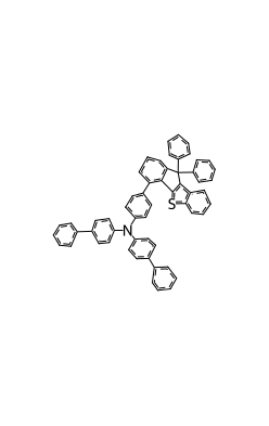 c1ccc(-c2ccc(N(c3ccc(-c4ccccc4)cc3)c3ccc(-c4cccc5c4-c4sc6ccccc6c4C5(c4ccccc4)c4ccccc4)cc3)cc2)cc1